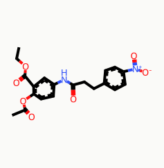 CCOC(=O)c1cc(NC(=O)CCc2ccc([N+](=O)[O-])cc2)ccc1OC(C)=O